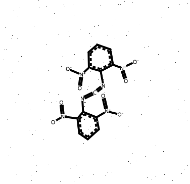 O=[N+]([O-])c1cccc([N+](=O)[O-])c1N=C=Nc1c([N+](=O)[O-])cccc1[N+](=O)[O-]